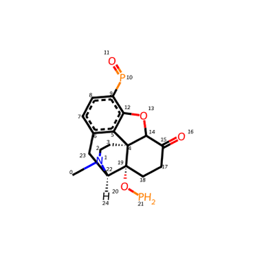 CN1CC[C@]23c4c5ccc(P=O)c4OC2C(=O)CC[C@@]3(OP)[C@H]1C5